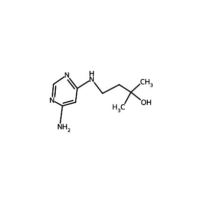 CC(C)(O)CCNc1cc(N)ncn1